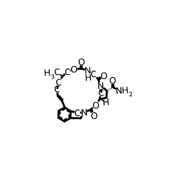 C[C@@H]1CC/C=C/c2cccc3c2CN(C3)C(=O)O[C@@H]2C[C@@H](C(N)=O)N(C2)C(=O)CNC(=O)OC1